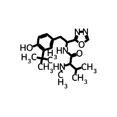 CNC(C(=O)NC(Cc1ccc(O)c(C(C)(C)C)c1)c1nnco1)C(C)C